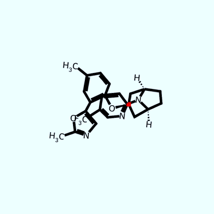 Cc1ccc(O[C@H]2C[C@H]3CC[C@@H](C2)N3c2ccc(C(F)(F)F)cn2)c(-c2cnc(C)o2)c1